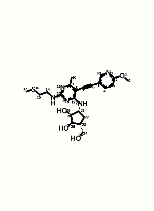 COc1ccc(C#Cc2c(C)nc(NCCSC)nc2N[C@@H]2C[C@H](CO)[C@@H](O)[C@H]2O)cn1